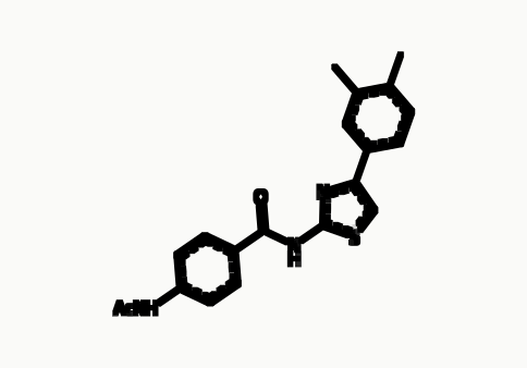 CC(=O)Nc1ccc(C(=O)Nc2nc(-c3ccc(C)c(C)c3)cs2)cc1